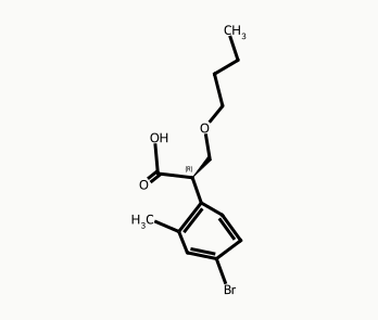 CCCCOC[C@H](C(=O)O)c1ccc(Br)cc1C